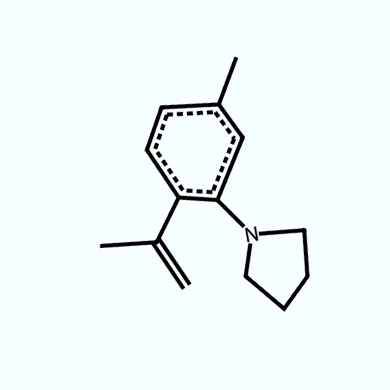 C=C(C)c1ccc(C)cc1N1CCCC1